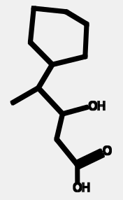 CC(C(O)CC(=O)O)C1CCCCC1